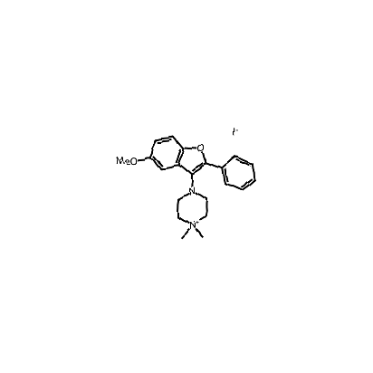 COc1ccc2oc(-c3ccccc3)c(N3CC[N+](C)(C)CC3)c2c1.[I-]